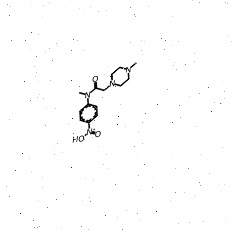 CN1CCN(CC(=O)N(C)c2ccc([N+](=O)O)cc2)CC1